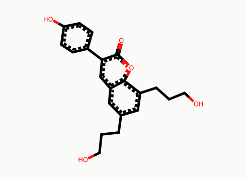 O=c1oc2c(CCCO)cc(CCCO)cc2cc1-c1ccc(O)cc1